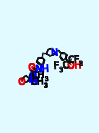 CN(C)C1(CNC(=O)Nc2ccc(CC3CCN(Cc4ccc(C(O)(C(F)(F)F)C(F)(F)F)cc4)CC3)cc2)CCOCC1